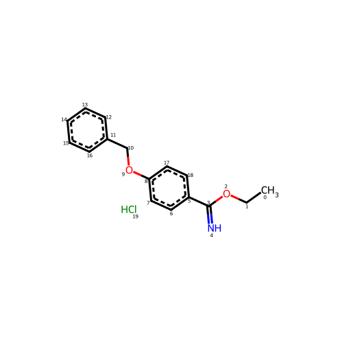 CCOC(=N)c1ccc(OCc2ccccc2)cc1.Cl